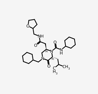 CC(C)C[C@@H]1C(=O)N(CC2CCCCC2)C[C@@H](CC(=O)NCC2CCCO2)N1C(=O)NC1CCCCC1